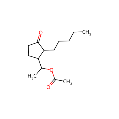 CCCCCC1C(=O)CCC1C(C)OC(C)=O